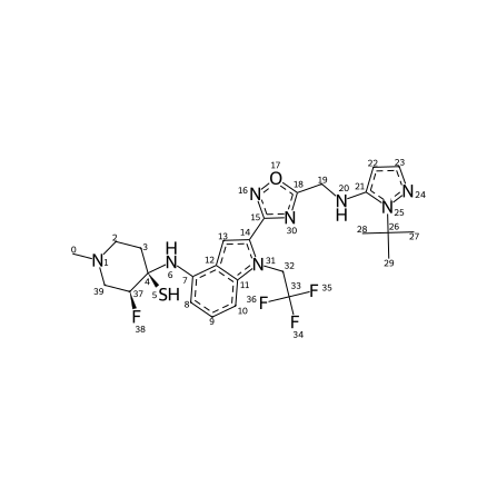 CN1CC[C@](S)(Nc2cccc3c2cc(-c2noc(CNc4ccnn4C(C)(C)C)n2)n3CC(F)(F)F)[C@@H](F)C1